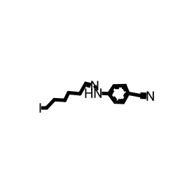 N#Cc1ccc(N/N=C\CCCCCI)cc1